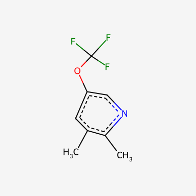 Cc1cc(OC(F)(F)F)cnc1C